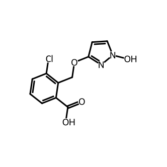 O=C(O)c1cccc(Cl)c1COc1ccn(O)n1